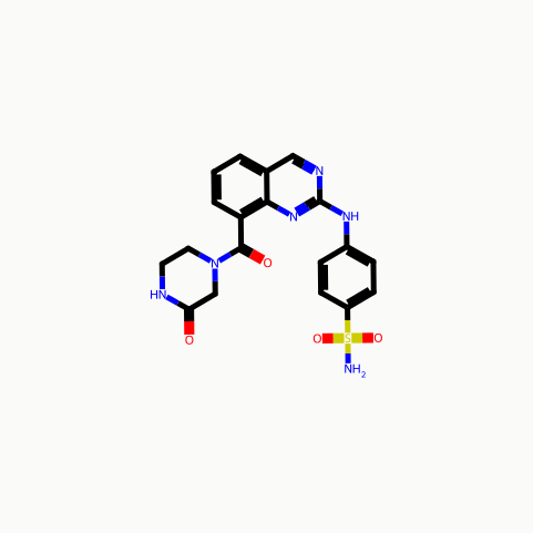 NS(=O)(=O)c1ccc(Nc2ncc3cccc(C(=O)N4CCNC(=O)C4)c3n2)cc1